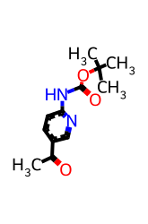 CC(=O)c1ccc(NC(=O)OC(C)(C)C)nc1